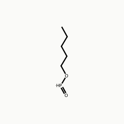 CCCCCO[PH]=O